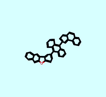 c1ccc2cc3c(cc2c1)oc1ccc(-c2c4ccccc4c(-c4ccc5ccc6ccccc6c5c4)c4ccccc24)cc13